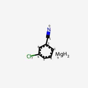 N#Cc1cccc(Cl)c1.[MgH2]